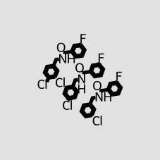 O=C(NCc1ccc(Cl)c(Cl)c1)c1cccc(F)c1.O=C(NCc1ccc(Cl)cc1)c1cccc(F)c1.O=C(NCc1cccc(Cl)c1)c1cccc(F)c1